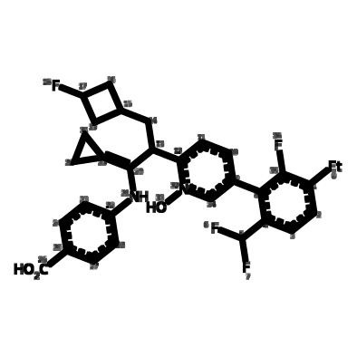 CCc1ccc(C(F)F)c(-c2ccc(C(CC3CC(F)C3)C(Nc3ccc(C(=O)O)cc3)=C3CC3)[n+](O)c2)c1F